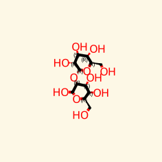 OC[C@H]1O[C@H](O[C@H]2C(O)O[C@H](CO)[C@H](O)[C@@H]2O)[C@H](O)[C@@H](O)[C@H]1O